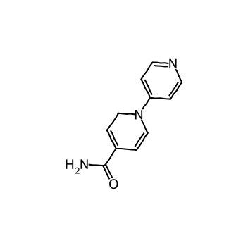 NC(=O)C1=CCN(c2ccncc2)C=C1